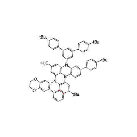 Cc1cc2c3c(c1)N(c1cc4c(cc1-c1ccccc1)OCCO4)c1ccc(C(C)(C)C)cc1B3c1ccc(-c3ccc(C(C)(C)C)cc3)cc1N2c1cc(-c2ccc(C(C)(C)C)cc2)cc(-c2ccc(C(C)(C)C)cc2)c1